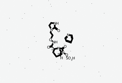 O=C(NOCCN1CCNC1=O)[C@@H]1CC[C@@H]2CN1C(=O)N2OS(=O)(=O)O.c1ccncc1